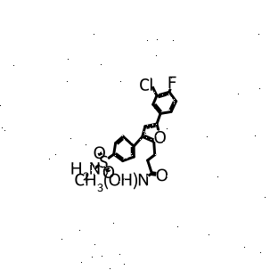 CN(O)C(=O)CCc1oc(-c2ccc(F)c(Cl)c2)cc1-c1ccc(S(N)(=O)=O)cc1